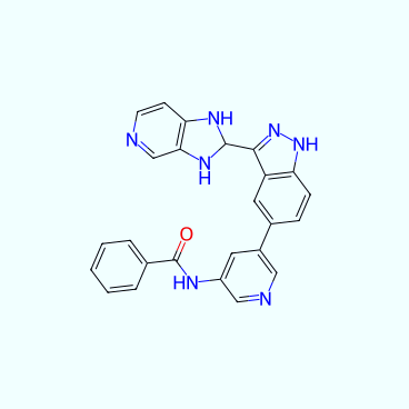 O=C(Nc1cncc(-c2ccc3[nH]nc(C4Nc5ccncc5N4)c3c2)c1)c1ccccc1